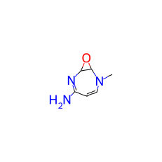 CN1C=CC(N)=NC2OC21